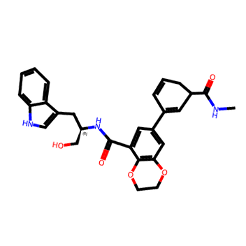 CNC(=O)C1C=C(c2cc3c(c(C(=O)N[C@@H](CO)Cc4c[nH]c5ccccc45)c2)OCCO3)C=CC1